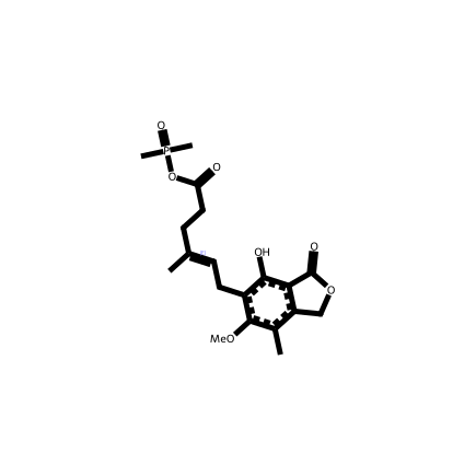 COc1c(C)c2c(c(O)c1C/C=C(\C)CCC(=O)OP(C)(C)=O)C(=O)OC2